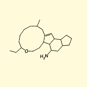 CCC1CCCCC(C)CC2=CC3C4CCCC4CC(N)C3C2CCO1